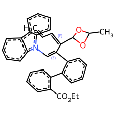 C=C/C=C(\C(=C/n1c2ccccc2c2ccccc21)c1ccccc1-c1ccccc1C(=O)OCC)C1OC(C)O1